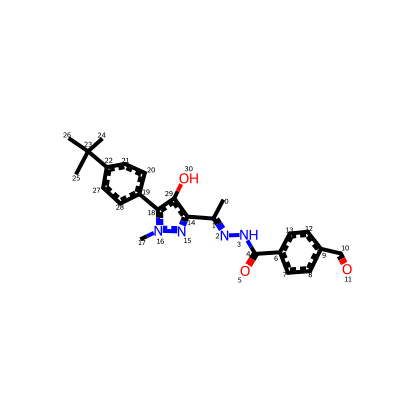 C/C(=N\NC(=O)c1ccc(C=O)cc1)c1nn(C)c(-c2ccc(C(C)(C)C)cc2)c1O